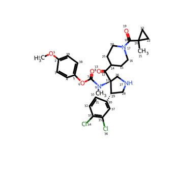 COc1ccc(OC(=O)N(C)[C@@]2(C(=O)C3CCN(C(=O)C4(C)CC4)CC3)CNC[C@@H]2c2ccc(Cl)c(Cl)c2)cc1